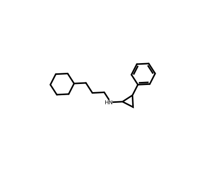 c1ccc(C2CC2NCCCC2CCCCC2)cc1